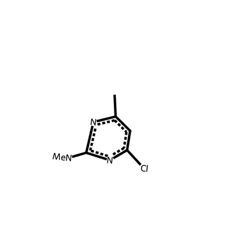 CNc1nc(C)cc(Cl)n1